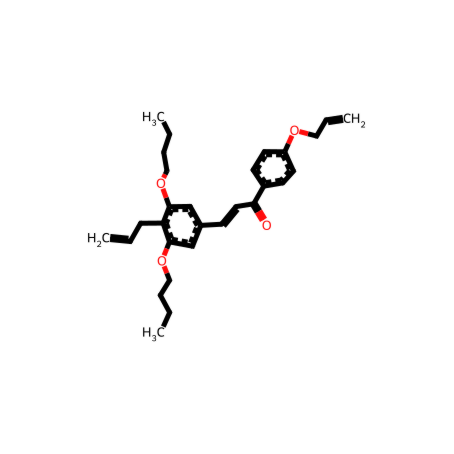 C=CCOc1ccc(C(=O)C=Cc2cc(OCCCC)c(CC=C)c(OCCCC)c2)cc1